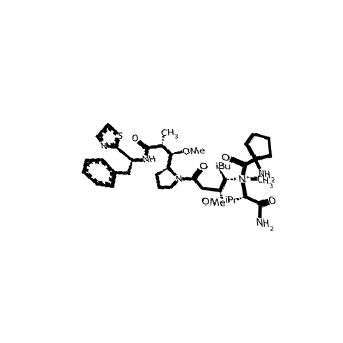 CC[C@H](C)[C@@H]([C@@H](CC(=O)N1CCC[C@H]1[C@H](OC)[C@@H](C)C(=O)N[C@@H](Cc1ccccc1)c1nccs1)OC)[N+](C)(C(=O)C1(N)CCCC1)[C@H](C(N)=O)C(C)C